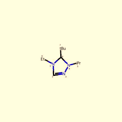 CCN1C=NN(C(C)C)C1C(C)(C)C